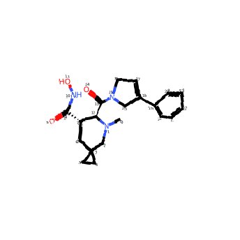 CN1CC2(CC2)C[C@H](C(=O)NO)[C@H]1C(=O)N1CC=C(c2ccccc2)C1